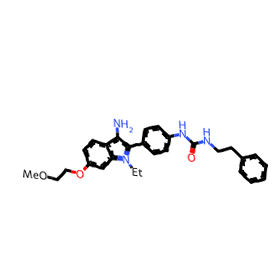 CCn1c(-c2ccc(NC(=O)NCCc3ccccc3)cc2)c(N)c2ccc(OCCOC)cc21